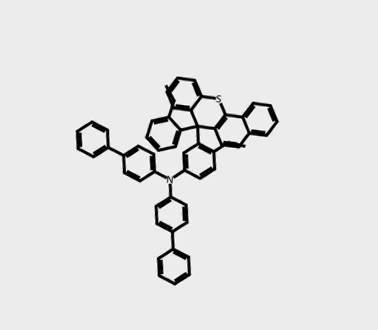 CCc1ccccc1C1(c2cc(N(c3ccc(-c4ccccc4)cc3)c3ccc(-c4ccccc4)cc3)ccc2CC)c2ccccc2Sc2c1ccc1ccccc21